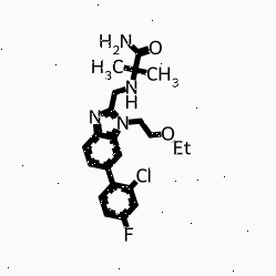 CCOCCn1c(CNC(C)(C)C(N)=O)nc2ccc(-c3ccc(F)cc3Cl)cc21